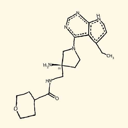 CCc1c[nH]c2ncnc(N3CC[C@](N)(CNC(=O)C4CCOCC4)C3)c12